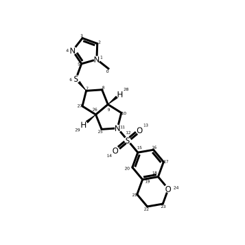 Cn1ccnc1S[C@H]1C[C@@H]2CN(S(=O)(=O)c3ccc4c(c3)CCCO4)C[C@@H]2C1